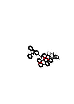 CC1(C)c2ccc(N(c3ccc4c5ccccc5n(-c5ccccc5)c4c3)c3ccccc3-c3cccc4cccc(-c5ccccc5)c34)cc2-c2cccc(C3CC4CCC3C4)c21